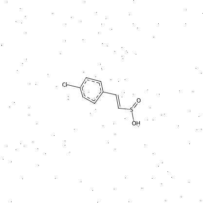 O=S(O)C=Cc1ccc(Cl)cc1